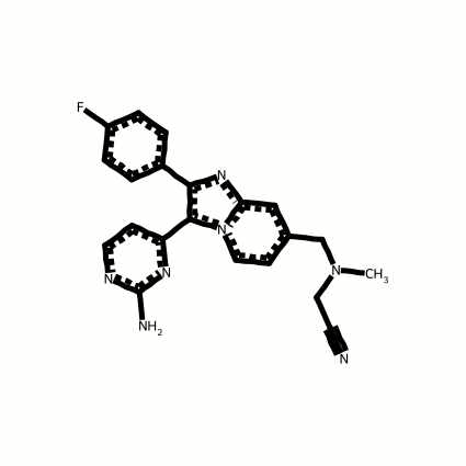 CN(CC#N)Cc1ccn2c(-c3ccnc(N)n3)c(-c3ccc(F)cc3)nc2c1